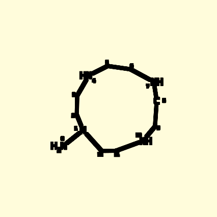 NN1CCNCCNCCNCC1